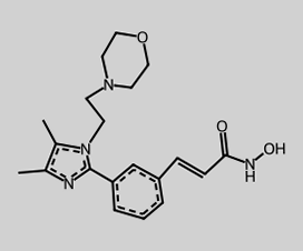 Cc1nc(-c2cccc(C=CC(=O)NO)c2)n(CCN2CCOCC2)c1C